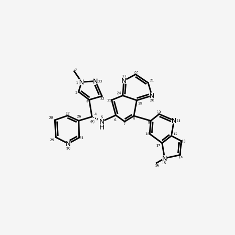 Cn1cc([C@H](Nc2cc(-c3cnc4ccn(C)c4c3)c3nccnc3c2)c2cccnc2)cn1